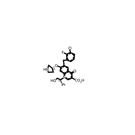 CC(C)[C@@H](CO)n1cc(C(=O)O)c(=O)c2cc(Cc3cccc(Cl)c3F)c(O[C@@H]3CCNC3)cc21